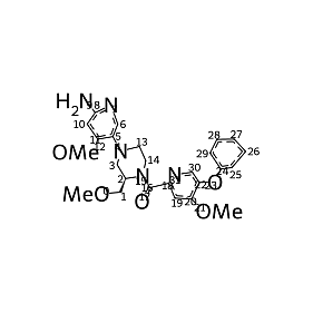 COC[C@H]1CN(c2cnc(N)cc2OC)CCN1C(=O)c1cc(OC)c(Oc2ccccc2)cn1